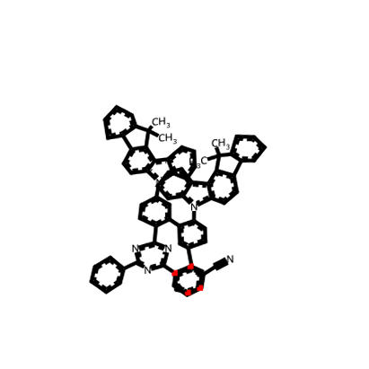 CC1(C)c2ccccc2-c2ccc3c(c21)c1ccccc1n3-c1ccc(-c2nc(-c3ccccc3)nc(-c3ccccc3)n2)c(-c2cc(-c3ccccc3C#N)ccc2-n2c3ccccc3c3c4c(ccc32)-c2ccccc2C4(C)C)c1